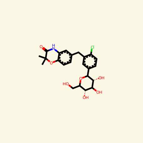 CC1(C)Oc2ccc(Cc3cc(C4OC(CO)[C@@H](O)C(O)[C@H]4O)ccc3Cl)cc2NC1=O